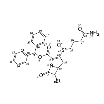 CCC1C(=O)N2C(C(=O)OC(c3ccccc3)c3ccccc3)=C([S+]([O-])CCCC(N)=O)CC12